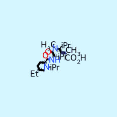 CC[C@H]1CC[C@@H](C(=O)N[C@H](C(=O)N(C)[C@H](/C=C(\C)C(=O)O)C(C)C)C(C)C)N(C(C)C)C1